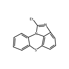 CCc1nc2cccc3c2n1-c1ccccc1S3